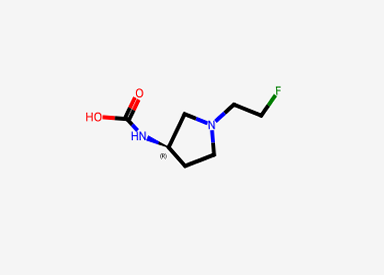 O=C(O)N[C@@H]1CCN(CCF)C1